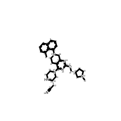 Cc1cccc2cccc(N3CCc4c(nc(OC[C@@H]5CCN(C)C5)nc4N4CCN[C@@H](CC#N)C4)C3)c12